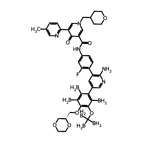 Bc1c(B)c(-c2cnc(N)c(-c3ccc(NC(=O)c4cn(CC5CCOCC5)cc(-c5ccc(C)cn5)c4=O)cc3F)c2)c(B)c(OC(B)(B)B)c1OC[C@H]1COCCO1